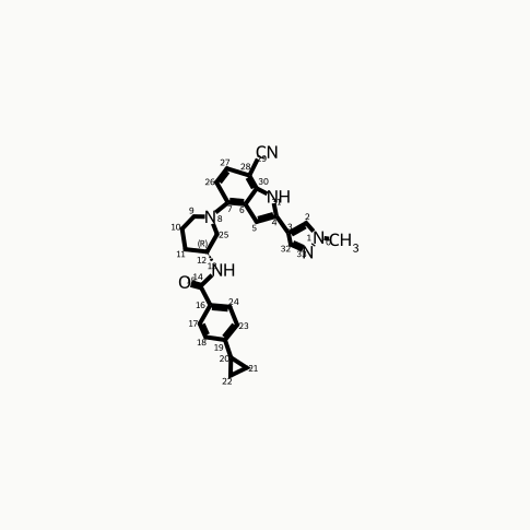 Cn1cc(-c2cc3c(N4CCC[C@@H](NC(=O)c5ccc(C6CC6)cc5)C4)ccc(C#N)c3[nH]2)cn1